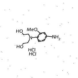 COc1cc(N)ccc1N(CCO)CCO.Cl.Cl